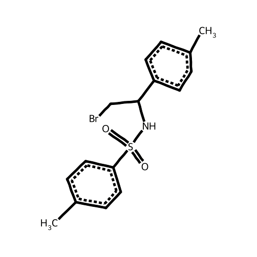 Cc1ccc(C(CBr)NS(=O)(=O)c2ccc(C)cc2)cc1